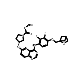 CC(C)(C)OC(=O)N1CC[C@H](Oc2ccc3ncnc(Nc4ccc(OCC56CC(CO5)C6)c(F)c4F)c3n2)C1